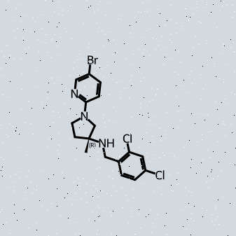 C[C@@]1(NCc2ccc(Cl)cc2Cl)CCN(c2ccc(Br)cn2)C1